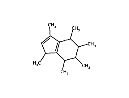 CC1=[C]C(C)C2=C1C(C)C(C)C(C)C2C